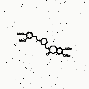 CNc1cc2c(cc1OC)CC(=O)N(CC1CCCN(CCc3ccc(OC)c(OC)c3)C1)CC2